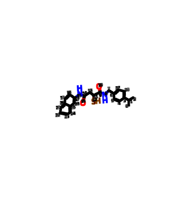 CC(C)c1ccc(CNC(=O)C(S)CC(=O)Nc2ccc3ccccc3c2)cc1